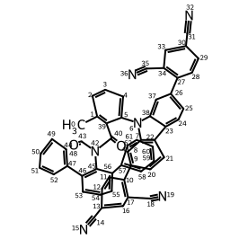 Cc1cccc(-n2c3cc(-c4ccc(C#N)cc4C#N)ccc3c3ccc(-c4ccc(C#N)cc4C#N)cc32)c1C(=O)N(C=O)c1c(-c2ccccc2)cccc1-c1ccccc1